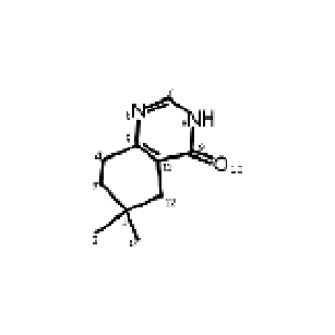 CC1(C)CCc2nc[nH]c(=O)c2C1